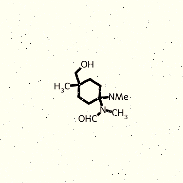 CNC1(N(C)C=O)CCC(C)(CO)CC1